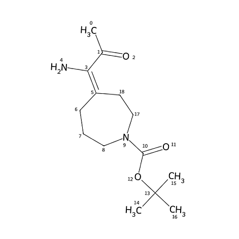 CC(=O)/C(N)=C1/CCCN(C(=O)OC(C)(C)C)CC1